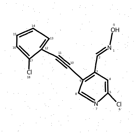 ON=Cc1cc(Cl)ncc1C#Cc1ccccc1Cl